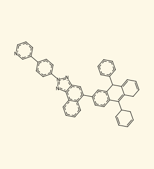 C1=CCC2=C(C3C=CC=CC3)c3ccc(-c4cc5nn(-c6ccc(-c7cccnc7)cc6)nc5c5ccccc45)cc3C(c3ccccc3)C2=C1